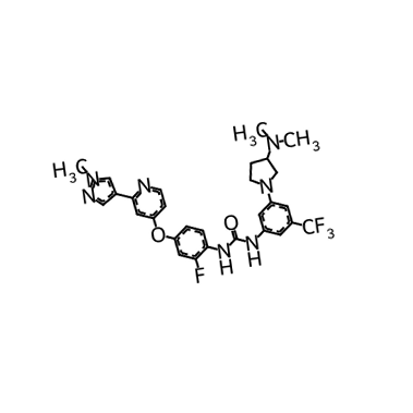 CN(C)C1CCN(c2cc(NC(=O)Nc3ccc(Oc4ccnc(-c5cnn(C)c5)c4)cc3F)cc(C(F)(F)F)c2)C1